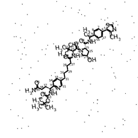 Cc1ncsc1-c1ccc([C@H](C)NC(=O)[C@@H]2C[C@@H](O)CN2C(=O)[C@@H](NC(=O)CCCCCc2ccc([C@H](CCC(N)=O)NC(=O)OC(C)(C)C)nc2)C(C)(C)C)cc1